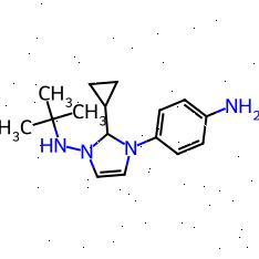 CC(C)(C)NN1C=CN(c2ccc(N)cc2)C1C1CC1